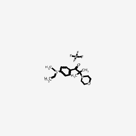 CC[S+](C)c1ccc(C(=O)C(C)(C)N2CCOCC2)cc1.F[B-](F)(F)F